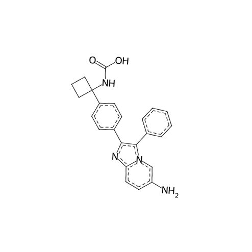 Nc1ccc2nc(-c3ccc(C4(NC(=O)O)CCC4)cc3)c(-c3ccccc3)n2c1